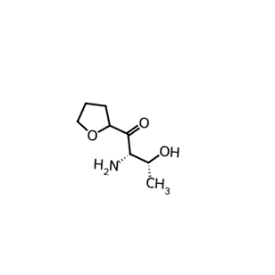 C[C@@H](O)[C@H](N)C(=O)C1CCCO1